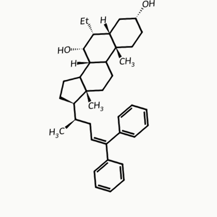 CC[C@H]1[C@@H](O)[C@H]2C3CC[C@H]([C@H](C)CC=C(c4ccccc4)c4ccccc4)[C@@]3(C)CCC2[C@@]2(C)CC[C@@H](O)C[C@@H]12